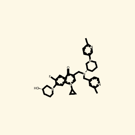 Cc1ccc(N2CCC[C@H](N(Cc3ccnc(C)c3)Cc3cn(C4CC4)c4cc(N5CCC[C@H](O)C5)c(F)cc4c3=O)C2)cn1